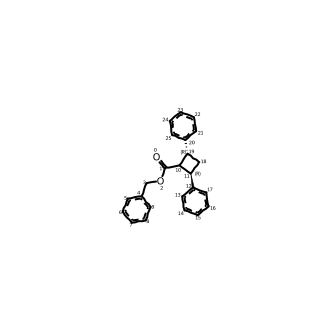 O=C(OCc1ccccc1)C1[C@H](c2ccccc2)C[C@H]1c1ccccc1